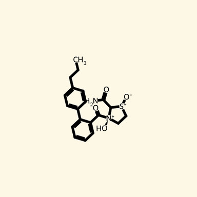 CCCc1ccc(-c2ccccc2C(=O)[N@@+]2(O)CC[S+]([O-])C2C(N)=O)cc1